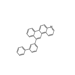 c1ccc(-c2cccc(-c3cc4c5cccnc5ccc4c4ccccc34)c2)cc1